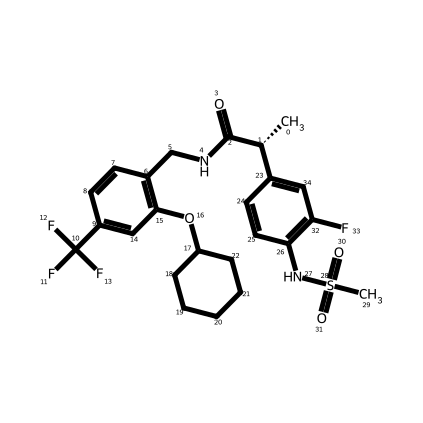 C[C@@H](C(=O)NCc1ccc(C(F)(F)F)cc1OC1CCCCC1)c1ccc(NS(C)(=O)=O)c(F)c1